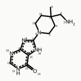 CC1(CN)CCN(c2nc3n[c][nH]c(=O)c3[nH]2)CC1